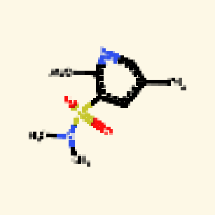 COc1ncc(C)cc1S(=O)(=O)N(C)C